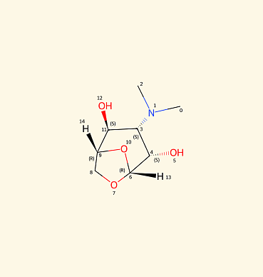 CN(C)[C@@H]1[C@H](O)[C@@H]2OC[C@@H](O2)[C@H]1O